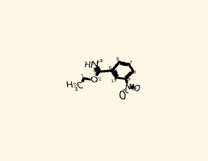 CCOC(=N)c1cccc([N+](=O)[O-])c1